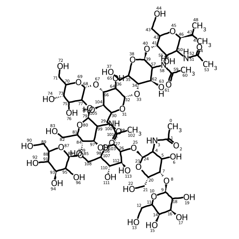 CC(=O)NC1C(O)[C@H](O[C@@H]2OC(CO)[C@H](O)[C@H](O)C2O)[C@H](CO)O[C@H]1OC1[C@@H](OCC2O[C@@H](O[C@@H]3C(CO)O[C@@H](O[C@@H]4C(CO)O[C@@H](C(C)C)C(NC(C)=O)[C@H]4O)C(NC(C)=O)[C@H]3O)C(O)[C@@H](O[C@H]3OC(CO)[C@@H](O)C(O)C3O[C@@H]3OC(CO)[C@@H](O[C@@H]4OC(CO)C(O)[C@H](O)C4O)[C@H](O)C3NC(C)=O)[C@@H]2O)OC(CO)[C@@H](O)[C@@H]1O